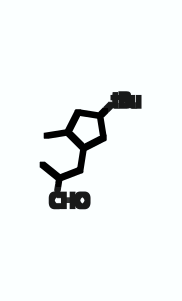 CC(C=O)CC1CC(C(C)(C)C)CC1C